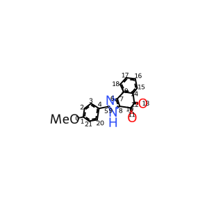 COc1ccc(-c2nc3c([nH]2)C(=O)C(=O)c2ccccc2-3)cc1